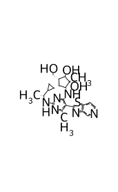 Cc1nc(N[C@H](C)C2CC2)nc(N[C@@H]2C[C@H](CO)[C@@H](O)C2(C)O)c1-c1nc2cnccc2s1